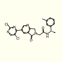 Cc1cccc([C@@H](C)NC(=O)CN2Cc3ncc(-c4nc(Cl)ncc4Cl)cc3C2=O)c1